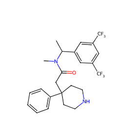 CC(c1cc(C(F)(F)F)cc(C(F)(F)F)c1)N(C)C(=O)CC1(c2ccccc2)CCNCC1